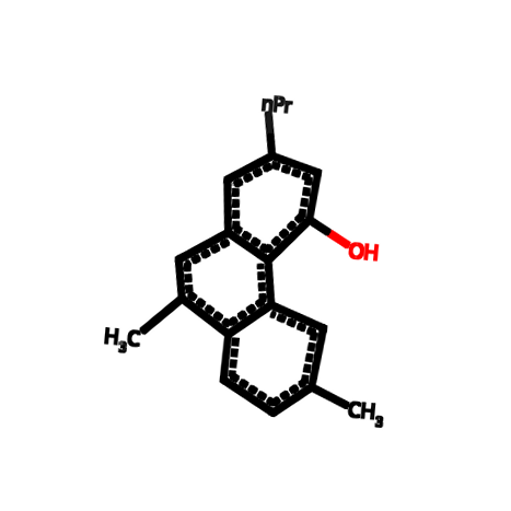 CCCc1cc(O)c2c(c1)cc(C)c1ccc(C)cc12